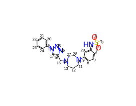 CS(=O)(=O)Nc1cccc(N2CCCN(Cc3cn(-c4ccccc4)nn3)CC2)c1